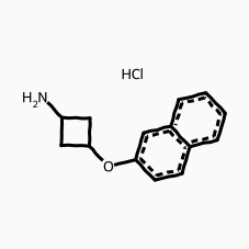 Cl.NC1CC(Oc2ccc3ccccc3c2)C1